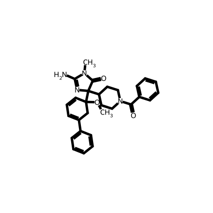 COC1(C2(C3CCN(C(=O)c4ccccc4)CC3)N=C(N)N(C)C2=O)C=CC=C(c2ccccc2)C1